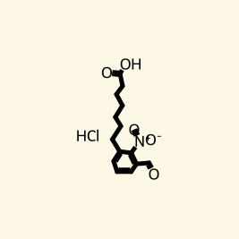 Cl.O=Cc1cccc(CCCCCCC(=O)O)c1[N+](=O)[O-]